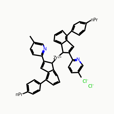 CCCc1ccc(-c2cccc3c2C=C(c2ccc(C)cn2)[CH]3[Zr+2][CH]2C(c3ccc(C)cn3)=Cc3c(-c4ccc(CCC)cc4)cccc32)cc1.[Cl-].[Cl-]